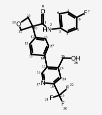 O=C(Nc1ccc(F)cc1)C1(c2ccc(-c3cnc(C(F)(F)F)cc3CO)cc2)COC1